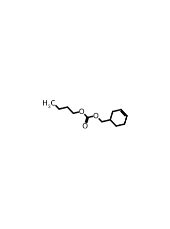 CCCCOC(=O)OCC1CC=CCC1